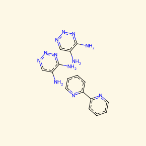 Nc1cnnnc1N.Nc1cnnnc1N.c1ccc(-c2ccccn2)nc1